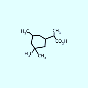 CC1CC(C(C)C(=O)O)CC(C)(C)C1